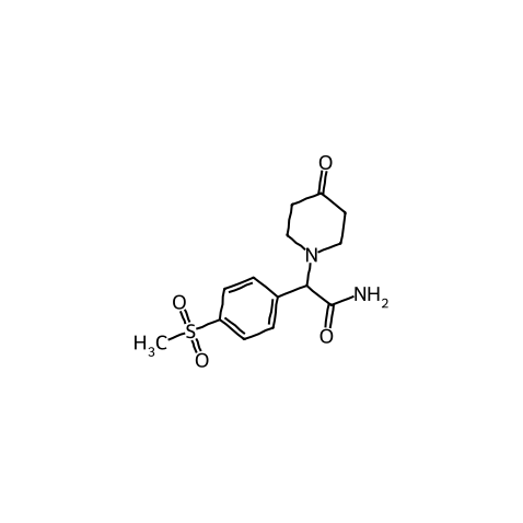 CS(=O)(=O)c1ccc(C(C(N)=O)N2CCC(=O)CC2)cc1